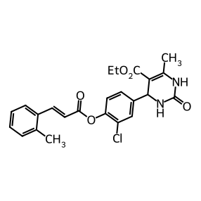 CCOC(=O)C1=C(C)NC(=O)NC1c1ccc(OC(=O)/C=C/c2ccccc2C)c(Cl)c1